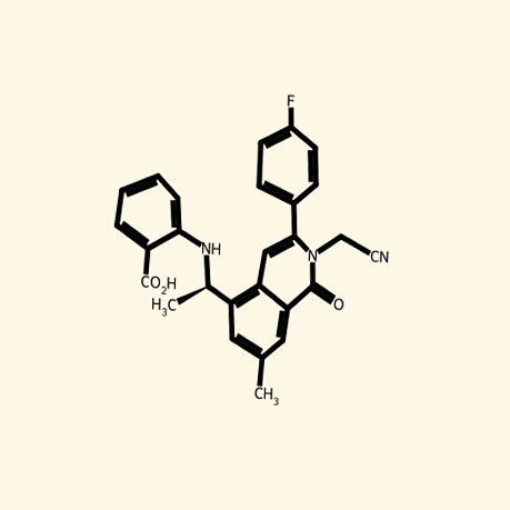 Cc1cc([C@@H](C)Nc2ccccc2C(=O)O)c2cc(-c3ccc(F)cc3)n(CC#N)c(=O)c2c1